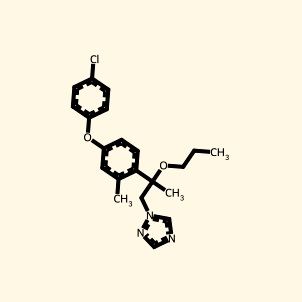 CCCOC(C)(Cn1cncn1)c1ccc(Oc2ccc(Cl)cc2)cc1C